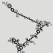 CC[C@@]1(O)C(=O)OCc2c1cc1n(c2=O)Cc2c-1nc1cc(F)c(C)c3c1c2[C@@H](NC(=O)COCNC(=O)[C@@H](N)CCCCNC(=O)OCc1ccc(NC(=O)[C@H](CCCNC(N)=O)NC(=O)[C@@H](NC(=O)CCOCCOCCOCCOCCNC(=O)Cc2ccc(-c4nnc(C)nn4)cc2)C(C)C)cc1)CC3